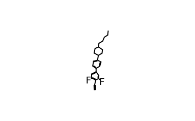 C#Cc1c(F)cc(-c2ccc(C3CCC(CCCCC)CC3)cc2)cc1F